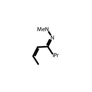 C/C=C\C(=N/NC)C(C)C